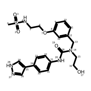 CS(=O)(=O)NCCOc1cccc(CN(CCO)C(=O)Nc2ccc(-c3cn[nH]c3)cc2)c1